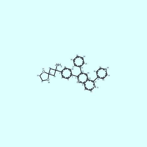 NC1(c2ccc(-c3nc4ccnc(-c5ccncc5)c4cc3-c3ccccc3)cc2)CC2(C1)OCCO2